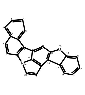 c1ccc2c(c1)ccc1c2c2cc3oc4ccccc4c3c3ccn1c32